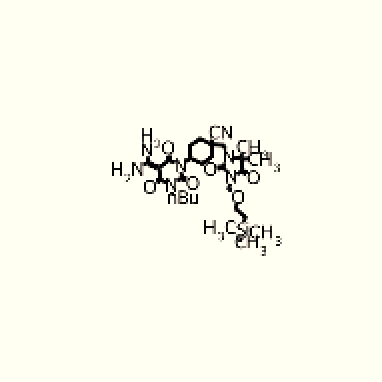 CCCCN1C(=O)C(=C(N)N)C(=O)N(C2CCC(C#N)(CN3C(=O)N(COCC[Si](C)(C)C)C(=O)C3(C)C)CC2)C1=O